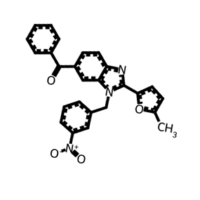 Cc1ccc(-c2nc3ccc(C(=O)c4ccccc4)cc3n2Cc2cccc([N+](=O)[O-])c2)o1